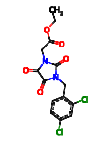 CCOC(=O)CN1C(=O)C(=O)N(Cc2ccc(Cl)cc2Cl)C1=O